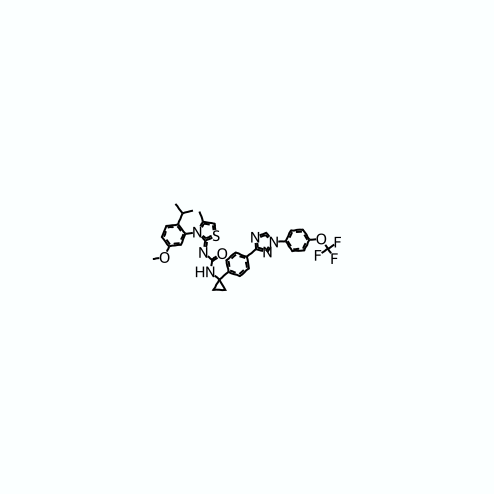 COc1ccc(C(C)C)c(-n2c(C)cs/c2=N\C(=O)NC2(c3ccc(-c4ncn(-c5ccc(OC(F)(F)F)cc5)n4)cc3)CC2)c1